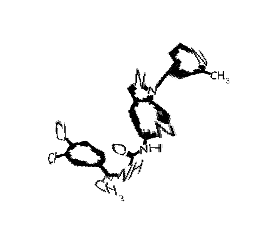 Cc1cc(-n2ncc3cc(NC(=O)N[C@H](C)c4ccc(Cl)c(Cl)c4)ncc32)ccn1